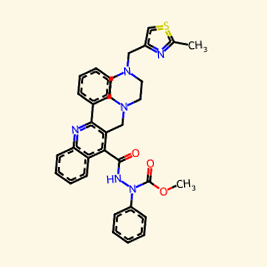 COC(=O)N(NC(=O)c1c(CN2CCN(Cc3csc(C)n3)CC2)c(-c2ccccc2)nc2ccccc12)c1ccccc1